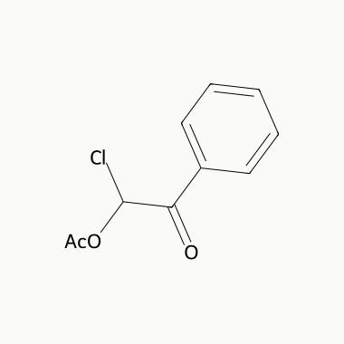 CC(=O)OC(Cl)C(=O)c1ccccc1